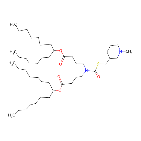 CCCCCCCC(CCCCCCC)OC(=O)CCCN(CCCC(=O)OC(CCCCCCC)CCCCCCC)C(=O)SCC1CCCN(C)C1